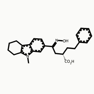 Cn1c2c(c3ccc(C(C[C@H](CCc4ccccc4)C(=O)O)=NO)cc31)CCCC2